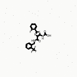 O=C(O)Nc1sc(-c2ccccc2F)nc1C(=O)NCc1ccccc1C(F)(F)F